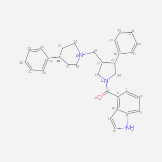 O=C(c1cccc2[nH]ccc12)N1CC(CN2CCC(c3ccccc3)CC2)C(c2ccccc2)C1